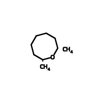 C.C.[CH]1CCCCCCO1